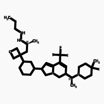 CCCNN[C@H](C)CC1(C2CCCC(C3C=C4C(C(F)(I)I)=CC([C@H](C)N5CCC(C)(I)CC5)CN4C3)C2)COC1